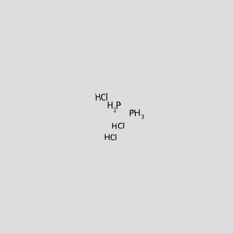 Cl.Cl.Cl.P.P